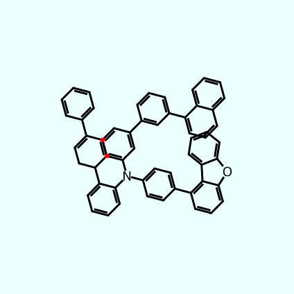 C1=CC(c2ccccc2N(c2ccc(-c3cccc4oc5ccccc5c34)cc2)c2cccc(-c3cccc(-c4cccc5ccccc45)c3)c2)CC=C1c1ccccc1